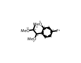 COc1cc(F)ccc1C(OC)C(C)OC